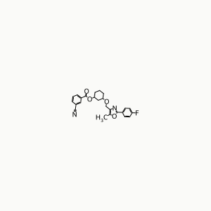 Cc1oc(-c2ccc(F)cc2)nc1COC1CCCC(OC(=O)c2cccc(C#N)c2)C1